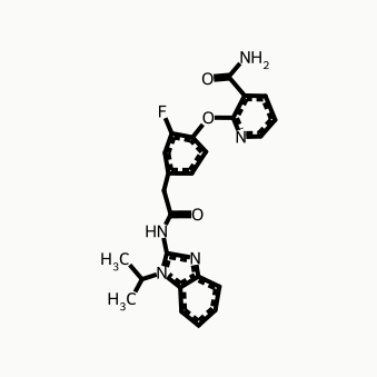 CC(C)n1c(NC(=O)Cc2ccc(Oc3ncccc3C(N)=O)c(F)c2)nc2ccccc21